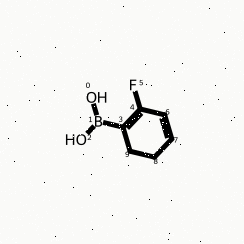 OB(O)C1=C(F)C=CCC1